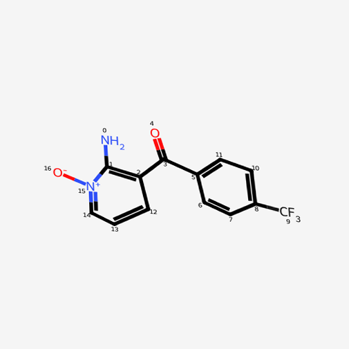 Nc1c(C(=O)c2ccc(C(F)(F)F)cc2)ccc[n+]1[O-]